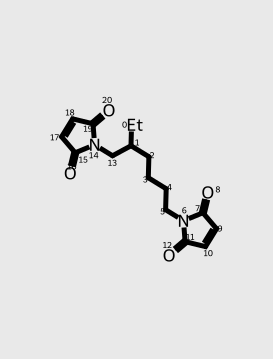 CCC(CCCCN1C(=O)C=CC1=O)CN1C(=O)C=CC1=O